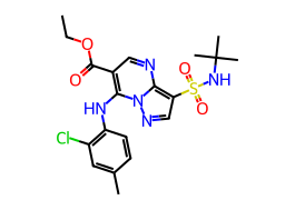 CCOC(=O)c1cnc2c(S(=O)(=O)NC(C)(C)C)cnn2c1Nc1ccc(C)cc1Cl